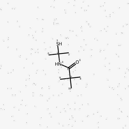 CC(C)(S)NC(=O)C(C)(C)C